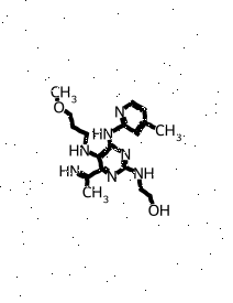 COCCCNc1c(Nc2cc(C)ccn2)nc(NCCO)nc1C(C)=N